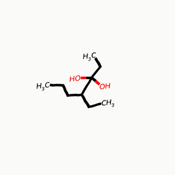 CCCC(CC)C(O)(O)CC